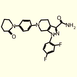 NC(=O)c1nn(-c2ccc(F)cc2F)c2c1CCN(c1ccc(N3CCCCC3=O)cc1)C2